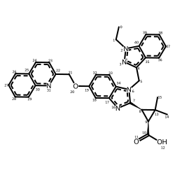 CCn1nc(Cn2c([C@@H]3[C@H](C(=O)O)C3(C)C)nc3cc(OCc4ccc5ccccc5n4)ccc32)c2ccccc21